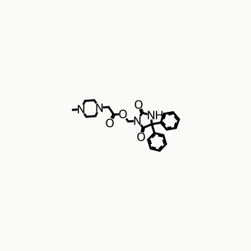 CN1CCN(CC(=O)OCN2C(=O)NC(c3ccccc3)(c3ccccc3)C2=O)CC1